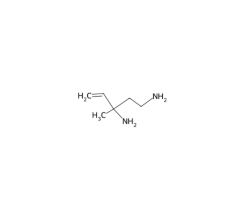 C=CC(C)(N)CCN